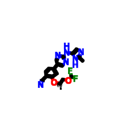 Cc1ncc(Nc2ncc(-c3ccc(C#N)c(O[C@@H](C)COC(F)F)c3)cn2)[nH]1